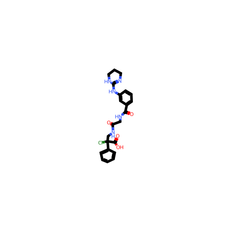 O=C(CNC(=O)c1cccc(NC2=NCCCN2)c1)NCC(Cl)(C(=O)O)c1ccccc1